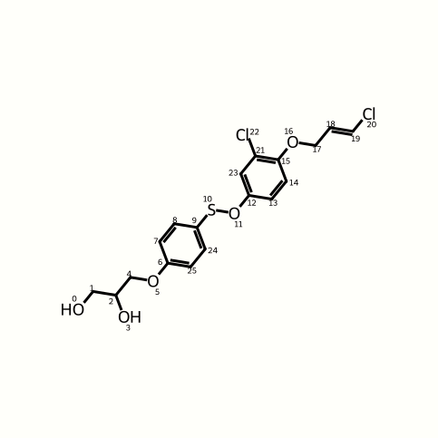 OCC(O)COc1ccc(SOc2ccc(OC/C=C/Cl)c(Cl)c2)cc1